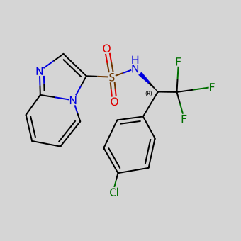 O=S(=O)(N[C@H](c1ccc(Cl)cc1)C(F)(F)F)c1cnc2ccccn12